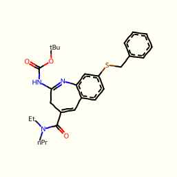 CCCN(CC)C(=O)C1=Cc2ccc(SCc3ccccc3)cc2N=C(NC(=O)OC(C)(C)C)C1